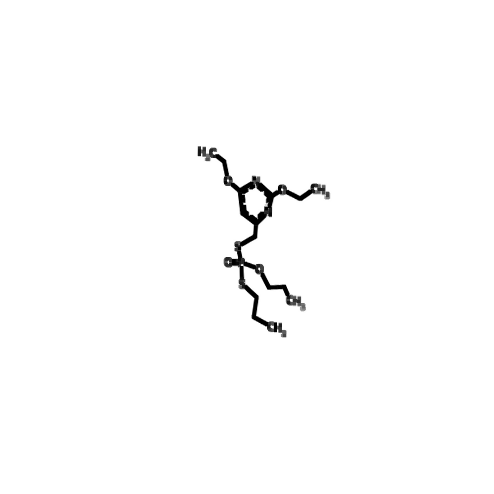 CCCOP(=O)(SCCC)SCc1cc(OCC)nc(OCC)n1